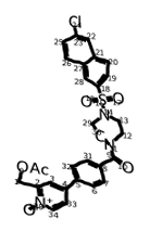 CC(=O)OCc1cc(-c2ccc(C(=O)N3CCN(S(=O)(=O)c4ccc5cc(Cl)ccc5c4)CC3)cc2)cc[n+]1[O-]